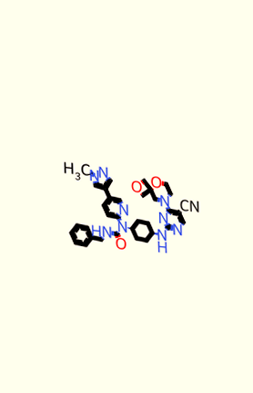 Cn1cc(-c2ccc(N(C(=O)NCc3ccccc3)[C@H]3CC[C@H](Nc4ncc(C#N)c(N5CCOC6(COC6)C5)n4)CC3)nc2)cn1